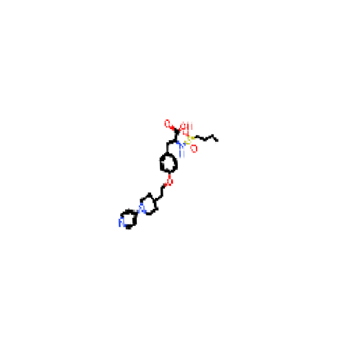 CCCCS(=O)(=O)NC(Cc1ccc(OCCC2CCN(c3ccncc3)CC2)cc1)C(=O)O